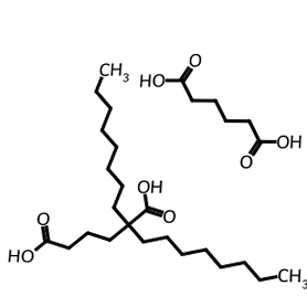 CCCCCCCCC(CCCCCCCC)(CCCC(=O)O)C(=O)O.O=C(O)CCCCC(=O)O